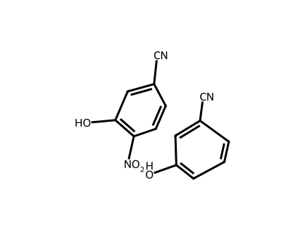 N#Cc1ccc([N+](=O)[O-])c(O)c1.N#Cc1cccc(O)c1